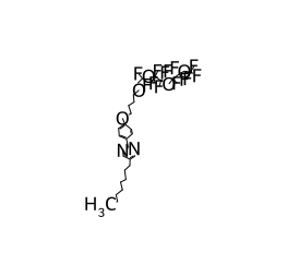 CCCCCCCCc1cnc(-c2ccc(OCCCCOCC(F)(F)OC(F)(F)C(F)(F)OC(F)(F)C(F)(F)OC(F)(F)F)cc2)nc1